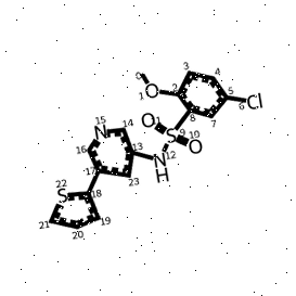 COc1ccc(Cl)cc1S(=O)(=O)Nc1cncc(-c2cccs2)c1